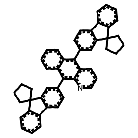 c1ccc2c(c1)-c1ccc(-c3c4ccccc4c(-c4ccc5c(c4)C4(CCCC4)c4ccccc4-5)c4ncccc34)cc1C21CCCC1